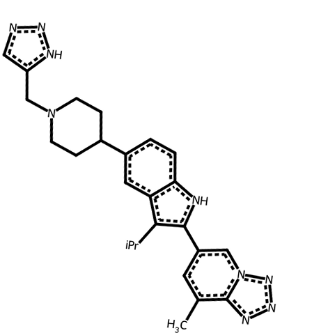 Cc1cc(-c2[nH]c3ccc(C4CCN(Cc5cnn[nH]5)CC4)cc3c2C(C)C)cn2nnnc12